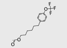 O=[C]OCCCCCCc1ccc(OC(F)(F)F)cc1